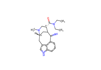 CCN(CC)C(=O)[C@H]1CN(C)[C@H]2Cc3c[nH]c4cccc(c34)C(=N)C1C2